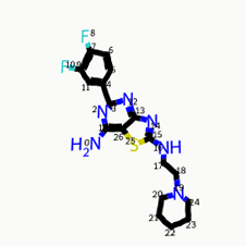 Nc1nc(-c2ccc(F)c(F)c2)nc2nc(NCCN3CCCCC3)sc12